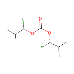 CC(C)C(F)OC(=O)OC(F)C(C)C